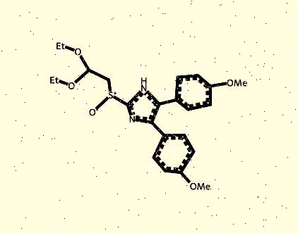 CCOC(C[S+]([O-])c1nc(-c2ccc(OC)cc2)c(-c2ccc(OC)cc2)[nH]1)OCC